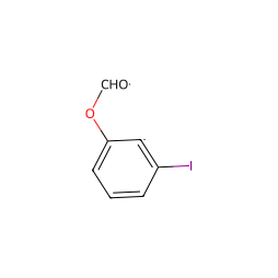 O=[C]Oc1[c]c(I)ccc1